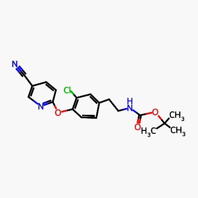 CC(C)(C)OC(=O)NCCc1ccc(Oc2ccc(C#N)cn2)c(Cl)c1